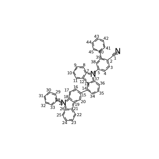 N#Cc1ccc(-n2c3ccccc3c3c(-c4ccc5c(c4)c4ccccc4n5-c4ccccc4)cccc32)cc1-c1ccccc1